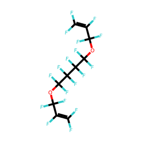 FC(F)=C(F)C(F)(F)OC(F)(F)C(F)(F)C(F)(F)C(F)(F)OC(F)(F)C(F)=C(F)F